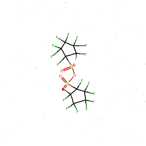 O=S(=O)(OS(=O)(=O)C1(F)C(F)(F)C(F)(F)C(F)(F)C1(F)F)C1(F)C(F)(F)C(F)(F)C(F)(F)C1(F)F